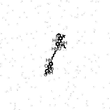 CCCC(=O)NC(c1cccc(C(=O)NCCCCCCCNc2ccc3c(c2)C(=O)N(C2CCC(=O)NC2=O)C3=O)c1)c1cc(C(C)(C)C)c2cccnc2c1O